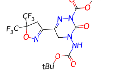 CC(C)(C)OC(=O)NN1CC(C2=NOC(C(F)(F)F)(C(F)(F)F)C2)=NN(C(=O)OC(C)(C)C)C1=O